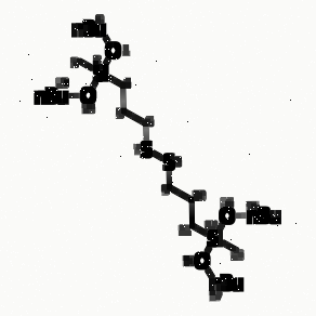 CCCCO[Si](C)(CCCSSCCC[Si](C)(OCCCC)OCCCC)OCCCC